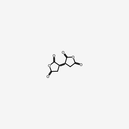 O=C1C/C(=C2\CC(=O)OC2=O)C(=O)O1